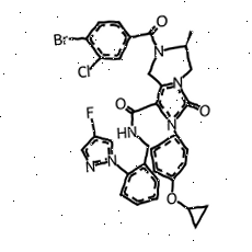 C[C@H]1Cn2c(c(C(=O)NCc3ccccc3-n3cc(F)cn3)n(-c3ccc(OC4CC4)cc3)c2=O)CN1C(=O)c1ccc(Br)c(Cl)c1